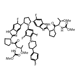 COC(=O)N[C@H](C(=O)N1CCC[C@H]1c1nc2c([nH]1)=CC(F)C([C@H]1CC[C@H](c3cc4nc([C@@H]5CCCN5C(=O)[C@@H](NC(=O)OC)[C@@H](C)OC)[nH]c4cc3F)N1c1cc(F)c(N3CCC(c4ccc(F)cc4)CC3)c(F)c1)C=2)[C@@H](C)OC